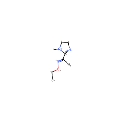 [3H]C(=NOCC(C)=O)C1=NCCN1C